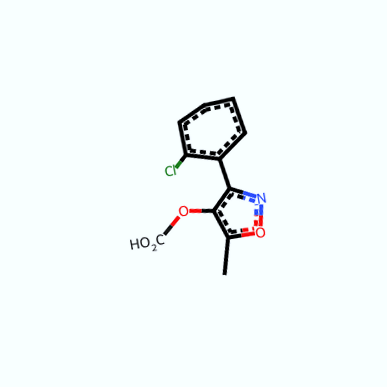 Cc1onc(-c2ccccc2Cl)c1OC(=O)O